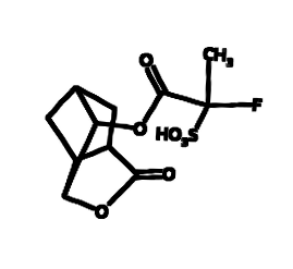 CC(F)(C(=O)OC1C2CC3C(=O)OC1C3C2)S(=O)(=O)O